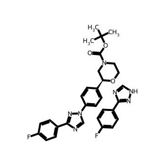 CC(C)(C)OC(=O)N1CCO[C@@H](c2ccc(-n3cnc(-c4ccc(F)cc4)n3)cc2)C1.Fc1ccc(-c2nc[nH]n2)cc1